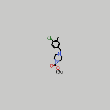 Cc1cc(CN2CCN(C(=O)OC(C)(C)C)CC2)ccc1Cl